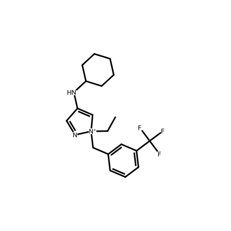 CC[N+]1(Cc2cccc(C(F)(F)F)c2)C=C(NC2CCCCC2)C=N1